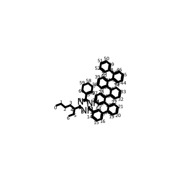 CCCCC(CC)C(=N)/N=C(\NCc1cccc(-c2ccccc2-c2ccccc2C2=CC=CCC2c2ccccc2-c2ccccc2-c2ccccc2)c1)C1=CCCCC1